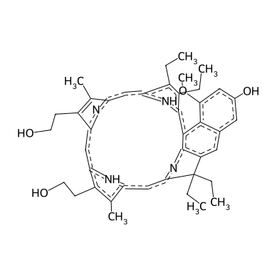 CCc1c(CC)c2[nH]c1cc1nc(cc3[nH]c(cc4nc5c(cc6cc(O)cc(OC)c6c52)C4(CC)CC)c(C)c3CCO)C(CCO)=C1C